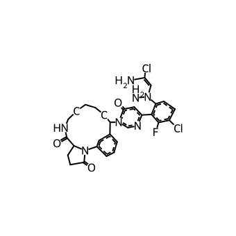 N/C(Cl)=C\N(N)c1ccc(Cl)c(F)c1-c1cc(=O)n(C2CCCCCNC(=O)C3CCC(=O)N3c3cccc2c3)cn1